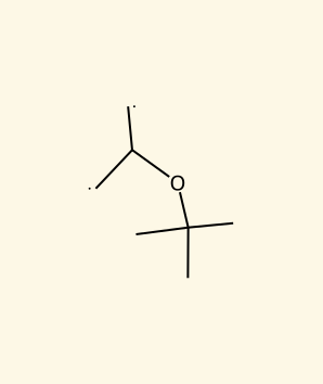 [CH2]C([CH2])OC(C)(C)C